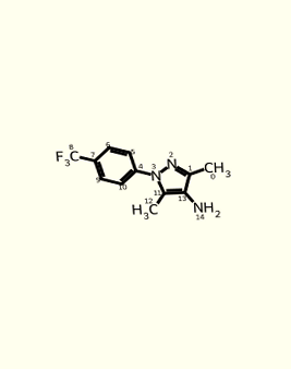 Cc1nn(-c2ccc(C(F)(F)F)cc2)c(C)c1N